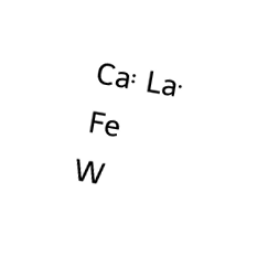 [Ca].[Fe].[La].[W]